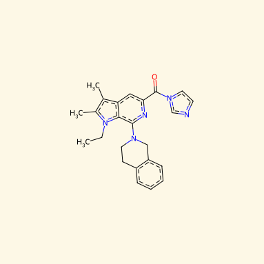 CCn1c(C)c(C)c2cc(C(=O)n3ccnc3)nc(N3CCc4ccccc4C3)c21